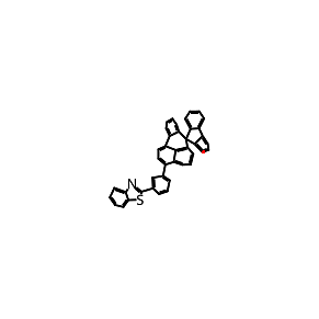 c1cc(-c2nc3ccccc3s2)cc(-c2ccc3c4c(cccc24)C2(c4ccccc4-c4ccccc42)c2ccccc2-3)c1